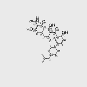 CC(C)CN1CC=C(c2ccc(O)c3c2CC2CC4CC(O)=C(C(N)=O)C(=O)C4C(O)=C2C3=O)CC1